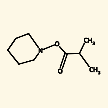 CC(C)C(=O)ON1CCCCC1